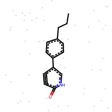 CCCc1ccc(-c2c#cc(=O)[nH]c2)cc1